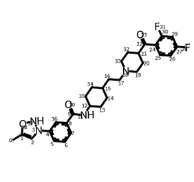 CC1=CN(c2cccc(C(=O)NC3CCC(CCN4CCC(C(=O)c5ccc(F)cc5F)CC4)CC3)c2)NO1